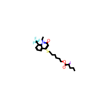 CCCC(I)C(=O)OCCCCCCSc1cc(=O)n(CC)c2c(C(F)(F)F)cccc12